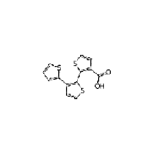 O=C(O)c1ccsc1-c1sccc1-c1cccs1